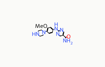 COc1cc(Nc2ncc(C(N)=O)cn2)ccc1N1CCNCC1